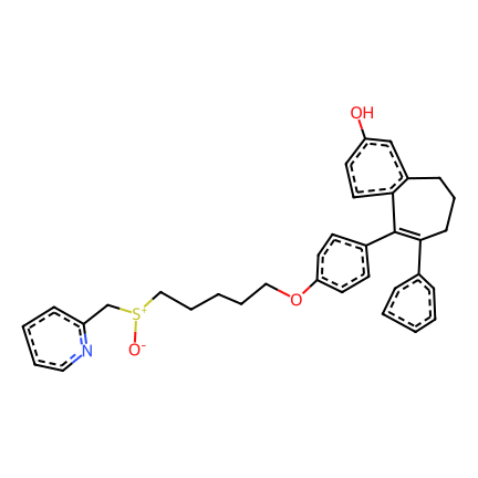 [O-][S+](CCCCCOc1ccc(C2=C(c3ccccc3)CCCc3cc(O)ccc32)cc1)Cc1ccccn1